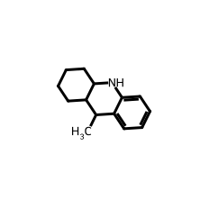 CC1c2ccccc2NC2CCCCC21